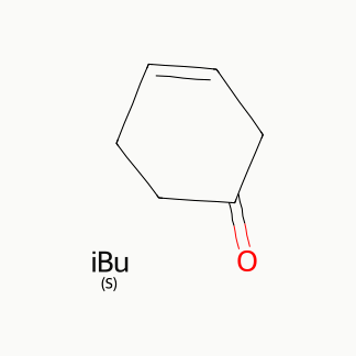 CC[C@H](C)C1CC=CCC1=O